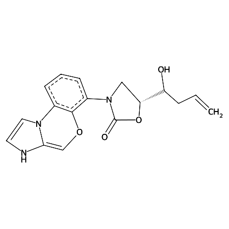 C=CCC(O)[C@H]1CN(c2cccc3c2OC=C2NC=CN23)C(=O)O1